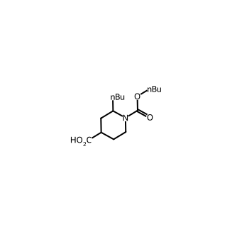 CCCCOC(=O)N1CCC(C(=O)O)CC1CCCC